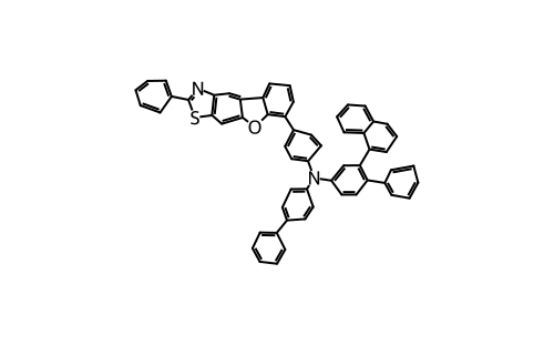 c1ccc(-c2ccc(N(c3ccc(-c4cccc5c4oc4cc6sc(-c7ccccc7)nc6cc45)cc3)c3ccc(-c4ccccc4)c(-c4cccc5ccccc45)c3)cc2)cc1